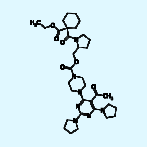 CCOC(=O)C1(C(=O)N2CCCC2COC(=O)N2CCN(c3nc(N4CCCC4)nc(N4CCCC4)c3C(C)=O)CC2)CCCCC1